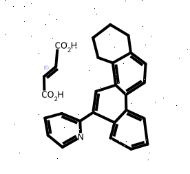 O=C(O)/C=C/C(=O)O.c1ccc(-c2cc3c4c(ccc3c3ccccc23)CCCC4)nc1